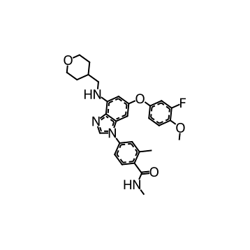 CNC(=O)c1ccc(-n2cnc3c(NCC4CCOCC4)cc(Oc4ccc(OC)c(F)c4)cc32)cc1C